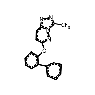 FC(F)(F)c1nnc2ccc(Oc3ccccc3-c3ccccc3)nn12